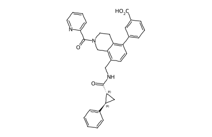 O=C(O)c1cccc(-c2ccc(CNC(=O)[C@@H]3C[C@H]3c3ccccc3)c3c2CCN(C(=O)c2ccccn2)C3)c1